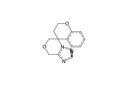 c1ccc2c(c1)OCCC21COCc2nc3cccnc3n21